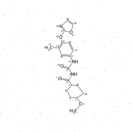 COC1CCC(C(=O)NC(=O)Nc2ccc(Oc3ncco3)c(C)c2)CC1